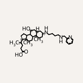 C[C@H](CCC(=O)O)[C@H]1CCC2C3C(CC[C@@]21C)[C@@]1(C)CC[C@@H](NCCCCNCc2ccccn2)C[C@@H]1C[C@H]3O